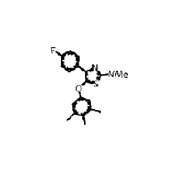 CNc1nc(-c2ccc(F)cc2)c(Oc2cc(C)c(C)c(C)c2)s1